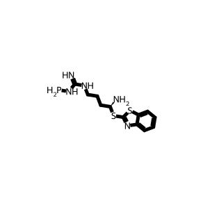 N=C(NP)NCCC[C@H](N)Sc1nc2ccccc2s1